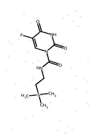 C[Si](C)(C)CCNC(=O)n1cc(F)c(=O)[nH]c1=O